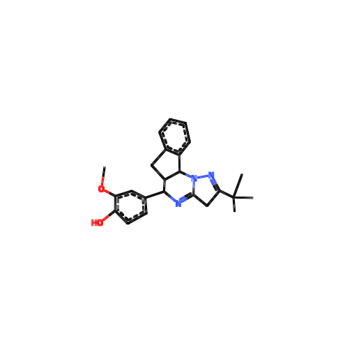 COc1cc(C2N=C3CC(C(C)(C)C)=NN3C3c4ccccc4CC23)ccc1O